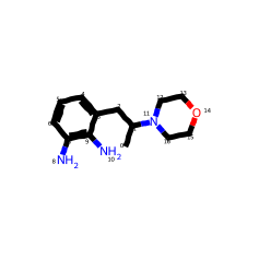 CC(Cc1cccc(N)c1N)N1CCOCC1